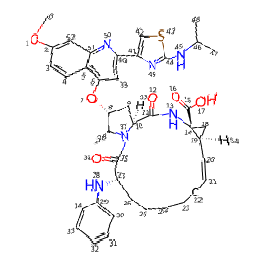 COc1ccc2c(O[C@@H]3C[C@H]4C(=O)N[C@]5(C(=O)O)C[C@H]5/C=C\CCCCC[C@H](Nc5ccccc5)C(=O)N4C3)cc(-c3csc(NC(C)C)n3)nc2c1